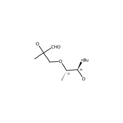 CCCC[C@@H]([O])[C@H](C)OCC(C)([O])C=O